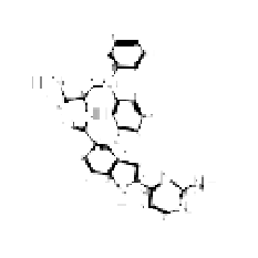 NC(=O)C(CN(c1ccccc1)c1ccccc1)NC(=O)c1ccc2c(c1)CC(c1ccnc(N)n1)N2